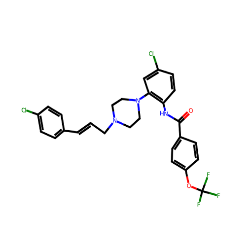 O=C(Nc1ccc(Cl)cc1N1CCN(C/C=C/c2ccc(Cl)cc2)CC1)c1ccc(OC(F)(F)F)cc1